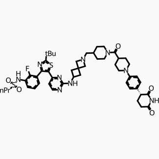 CCCS(=O)(=O)Nc1cccc(-c2nc(C(C)(C)C)sc2-c2ccnc(NC3CC4(C3)CN(CC3CCN(C(=O)C5CCN(c6ccc([C@H]7CCC(=O)NC7=O)cc6)CC5)CC3)C4)n2)c1F